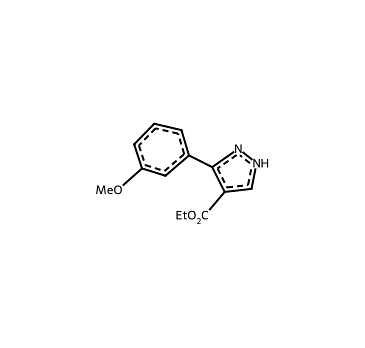 CCOC(=O)c1c[nH]nc1-c1cccc(OC)c1